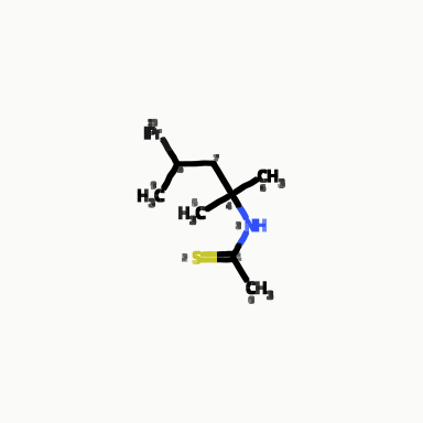 CC(=S)NC(C)(C)CC(C)C(C)C